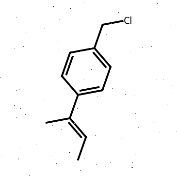 CC=C(C)c1ccc(CCl)cc1